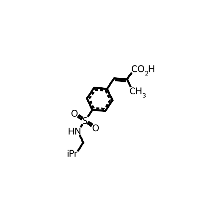 CC(=Cc1ccc(S(=O)(=O)NCC(C)C)cc1)C(=O)O